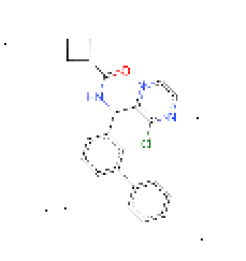 O=C(NC(c1cccc(-c2ccccc2)c1)c1nccnc1Cl)C1CCC1